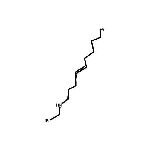 CC(C)CCCC/C=C/CCCNCC(C)C